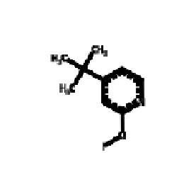 CC(C)(C)c1ccnc(OI)c1